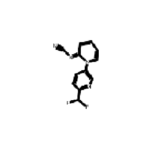 N#C/N=c1\ccccn1-c1ccc(C(F)F)nc1